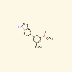 COC(=O)c1cc(OC)cc(-c2ccc3[nH]ccc3c2)c1